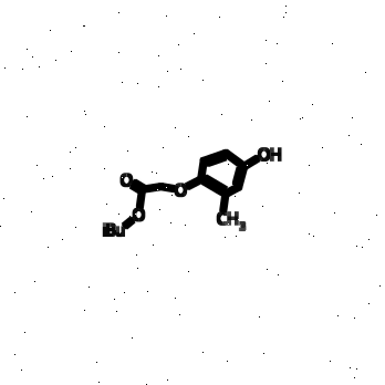 CCC(C)OC(=O)COc1ccc(O)cc1C